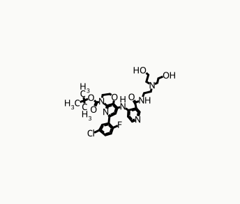 CC(C)(C)OC(=O)N1CCOc2c(Nc3ccncc3C(=O)NCCN(CCO)CCO)cc(-c3cc(Cl)ccc3F)nc21